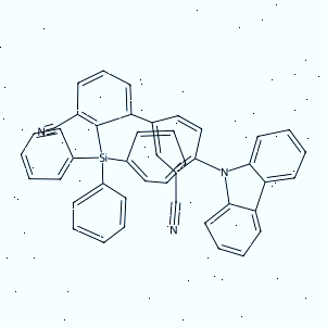 N#Cc1cc(-c2cccc(C#N)c2[Si](c2ccccc2)(c2ccccc2)c2ccccc2)ccc1-n1c2ccccc2c2ccccc21